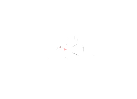 CCCCC(C)(c1c(C(C)(C)C)cc(C(C)(C)C)cc1C(C)(C)C)P(O)(O)(O)C(O)CCO